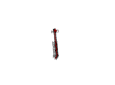 Cc1sc2c(c1C)C(c1ccc(Cl)cc1)=N[C@@H](CC(=O)NCCOCCOCCOCCOCCOCCOCCOCCOCCC(=O)Nc1cn(C)c(C(=O)Nc3cc(C(=O)NCCC(=O)Nc4cn(C)c(C(=O)Nc5cc(C(=O)NCCC(=O)Nc6cn(C)c(C(=O)NCCC(=O)NCCCN(C)C)n6)n(C)c5)n4)n(C)c3)n1)c1nnc(C)n1-2